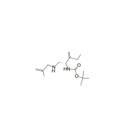 C=C(C)CNC[C@@H](NC(=O)OC(C)(C)C)C(=C)CC